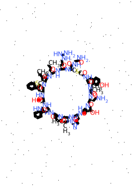 CCCC[C@H]1C(=O)N(C)[C@@H](CCCC)C(=O)N[C@@H](CCCNC(=N)N)C(=O)NC(C(=O)NCC(N)=O)CSCC(=O)N[C@@H](Cc2ccc(O)cc2)C(=O)N(C)[C@@H](C)C(=O)N[C@@H](CC(N)=O)C(=O)N2C[C@H](O)C[C@H]2C(=O)N[C@@H](Cc2cnc[nH]2)C(=O)N[C@@H](CC(C)C)C(=O)N2CCC[C@@H]2C(=O)N[C@@H](Cc2c[nH]c3ccccc23)C(=O)N[C@@H](CO)C(=O)N[C@@H](Cc2csc3ccccc23)C(=O)N1C